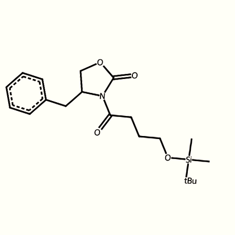 CC(C)(C)[Si](C)(C)OCCCC(=O)N1C(=O)OCC1Cc1ccccc1